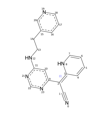 N#C/C(=C1\C=CC=CN1)c1cc(NCCc2cccnc2)ncn1